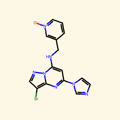 [O-][n+]1cccc(CNc2cc(-n3ccnc3)nc3c(Br)cnn23)c1